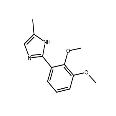 COc1cccc(-c2ncc(C)[nH]2)c1OC